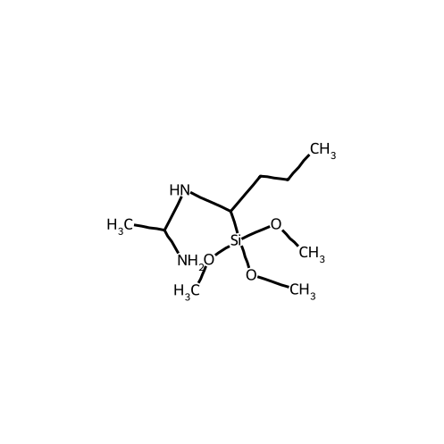 CCCC(NC(C)N)[Si](OC)(OC)OC